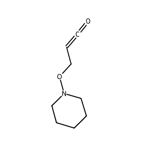 O=C=CCON1CCCCC1